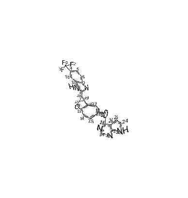 FC(F)(F)c1ccc2nc(C3C4Oc5ccc(Oc6ncnc7[nH]ccc67)cc5C43)[nH]c2c1